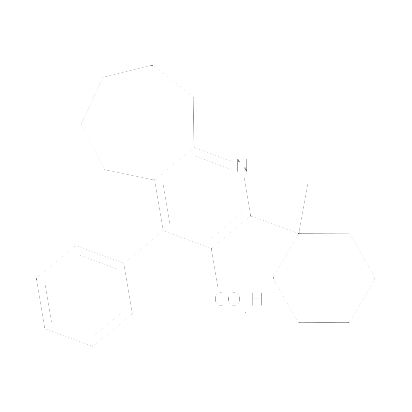 CC1(c2nc3c(c(-c4ccccc4)c2C(=O)O)CCCCC3)CCCCC1